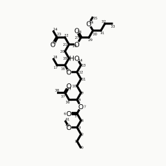 CCCC(CC(=O)OC(CCCC(CO)OC(CC)CCC(CC(C)=O)OC(=O)CC(CCC)OC)CC(C)=O)OC